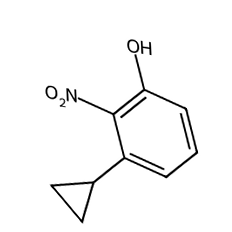 O=[N+]([O-])c1c(O)cccc1C1CC1